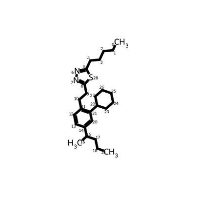 CCCCCc1nnc(CCc2ccc(C(C)CCC)cc2C2CCCCC2)s1